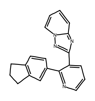 c1cnc(-c2ccc3c(c2)CCC3)c(-c2nc3ccccn3n2)c1